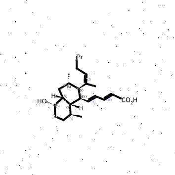 C/C(=C/CC(C)C)[C@H]1[C@@H](/C=C/C=C/C(=O)O)[C@H]2[C@@H](C[C@@H]1C)[C@@H](O)CC[C@@H]2C